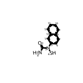 NC(=O)N(S)c1ccc2ccccc2c1